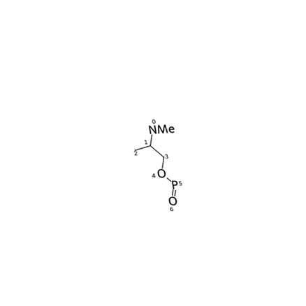 CNC(C)COP=O